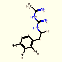 [2H]c1ccc(CC([2H])NC(=N)NC(C)=N)c([2H])c1[2H]